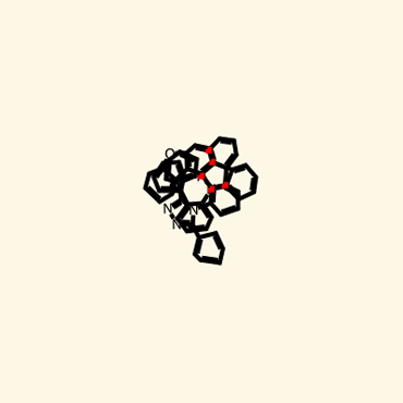 c1ccc(-c2nnc(-c3ccccc3)n2-c2cccc3c4ccccc4n(-c4ccccc4-c4ccccc4-n4c5ccccc5c5ccc6oc7ccccc7c6c54)c23)cc1